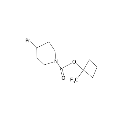 CC(C)C1CCN(C(=O)OC2(C(F)(F)F)CCC2)CC1